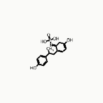 CC(CC1=CC=C(O)CC1=NP(=O)(O)O)c1ccc(O)cc1